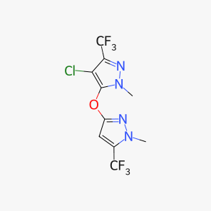 Cn1nc(Oc2c(Cl)c(C(F)(F)F)nn2C)cc1C(F)(F)F